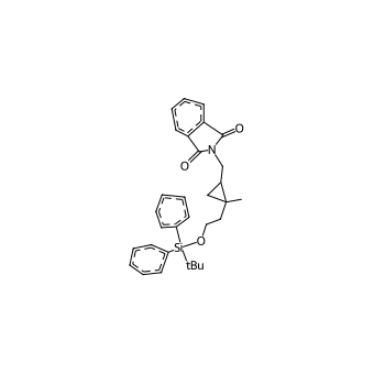 CC1(CCO[Si](c2ccccc2)(c2ccccc2)C(C)(C)C)CC1CN1C(=O)c2ccccc2C1=O